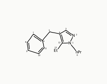 CCCn1ncc(Cc2ccccc2)c1CC